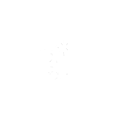 C[C@@H]1CN(c2noc3c(F)c4c(cc23)CC2(C(=O)NC(=O)NC2=O)[C@@H]2[C@@H](C)O[C@H](C)CN42)C(=O)O1